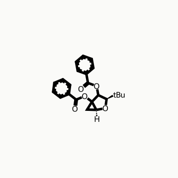 CC(C)(C)[C@H]1O[C@H]2CC2(OC(=O)c2ccccc2)C1OC(=O)c1ccccc1